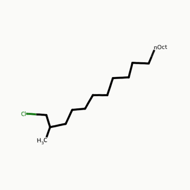 CCCCCCCCCCCCCCCCCC(C)CCl